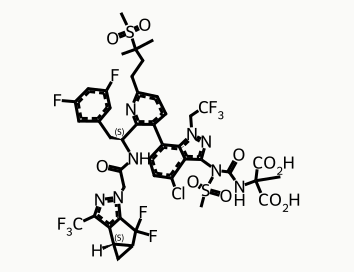 CC(NC(=O)N(c1nn(CC(F)(F)F)c2c(-c3ccc(CCC(C)(C)S(C)(=O)=O)nc3[C@H](Cc3cc(F)cc(F)c3)NC(=O)Cn3nc(C(F)(F)F)c4c3C(F)(F)C3C[C@H]43)ccc(Cl)c12)S(C)(=O)=O)(C(=O)O)C(=O)O